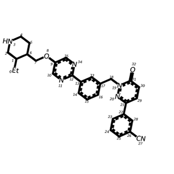 CCC1CNCCC1COc1cnc(-c2cccc(Cn3nc(-c4cccc(C#N)c4)ccc3=O)c2)nc1